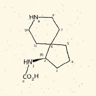 O=C(O)N[C@@H]1CCCC12CCNCC2